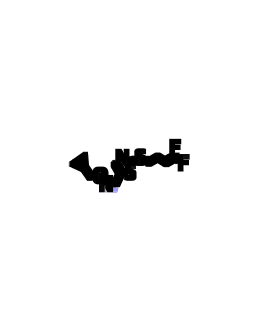 FC(F)=CCCSc1ncc(/C=N\OCC2CC2)s1